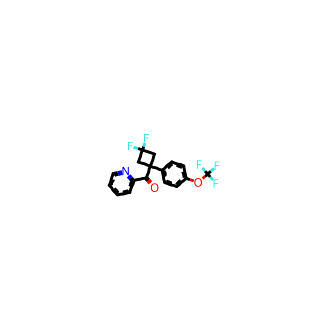 O=C(c1ccccn1)C1(c2ccc(OC(F)(F)F)cc2)CC(F)(F)C1